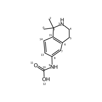 CC1(C)NCCc2cc(NC(=O)O)ccc21